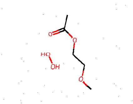 COCCOC(C)=O.OO